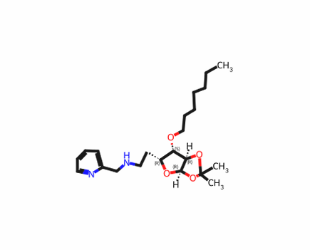 CCCCCCCO[C@@H]1[C@H]2OC(C)(C)O[C@H]2O[C@@H]1CCNCc1ccccn1